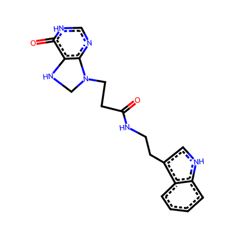 O=C(CCN1CNc2c1nc[nH]c2=O)NCCc1c[nH]c2ccccc12